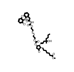 CCCCC(C)(O)C/C=C/[C@H]1[C@H](OC(=O)OCCSSCCOC(=O)NC(=O)Cc2ccccc2Nc2c(Cl)cccc2Cl)CC(=O)[C@@H]1CCCCCCC(=O)OC